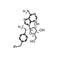 CC(C)Cc1ccc(C(C)[C@@]2(n3cnc4c(N)ncnc43)O[C@H](CO)[C@@H](O)[C@H]2O)cc1